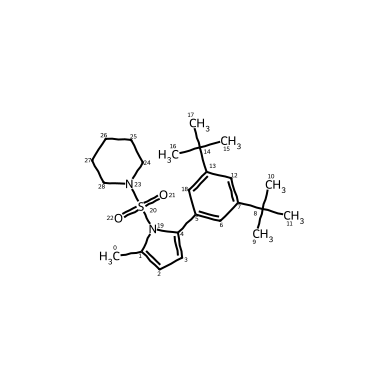 Cc1ccc(-c2cc(C(C)(C)C)cc(C(C)(C)C)c2)n1S(=O)(=O)N1CCCCC1